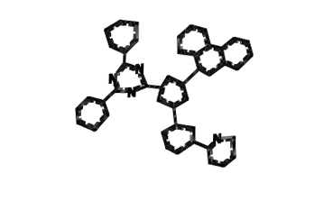 c1ccc(-c2nc(-c3ccccc3)nc(-c3cc(-c4cccc(-c5ccccn5)c4)cc(-c4cc5ccccc5c5ccccc45)c3)n2)cc1